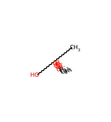 CCCCCCCCCCCCCCCCCCCCCCCCCCCCO.O=P([O-])([O-])[O-].O=P([O-])([O-])[O-].[Ca+2].[Ca+2].[Ca+2]